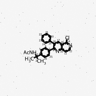 CC(=O)NC(C)(C)c1ccc(-c2nc3ccnc(Cl)c3cc2-c2ccccc2)cc1